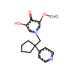 O=COc1cn(CC2(c3ccncc3)CCCC2)cc(O)c1=O